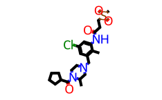 Cc1c(CN2CCN(C(=O)C3CCCC3)C(C)C2)cc(Cl)cc1NC(=O)CCS(C)(=O)=O